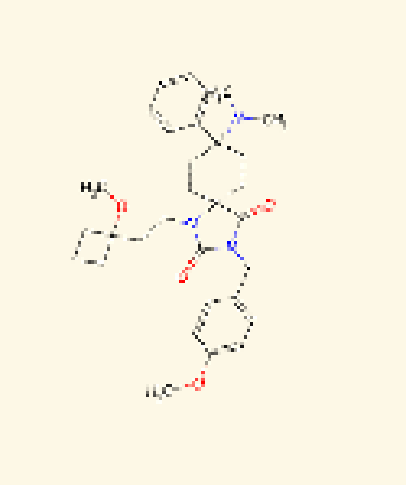 COc1ccc(CN2C(=O)N(CCC3(OC)CCC3)[C@]3(CC[C@@](c4ccccc4)(N(C)C)CC3)C2=O)cc1